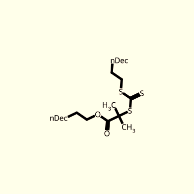 CCCCCCCCCCCCOC(=O)C(C)(C)SC(=S)SCCCCCCCCCCCC